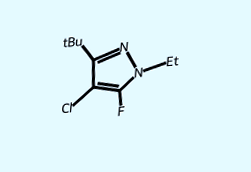 CCn1nc(C(C)(C)C)c(Cl)c1F